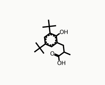 CC(Cc1cc(C(C)(C)C)cc(C(C)(C)C)c1O)C(=O)O